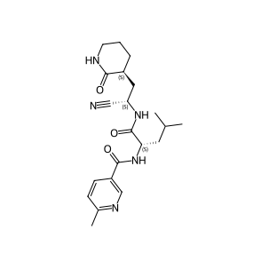 Cc1ccc(C(=O)N[C@@H](CC(C)C)C(=O)N[C@H](C#N)C[C@@H]2CCCNC2=O)cn1